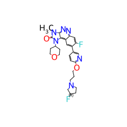 Cn1c(=O)n(C2CCOCC2)c2c3cc(-c4ccc(OCCCN5CC[C@@H](F)C5)nc4)c(F)cc3nnc21